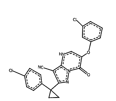 N#Cc1c(C2(c3ccc(Cl)cc3)CC2)nn2c(=O)c(Oc3cccc(Cl)c3)c[nH]c12